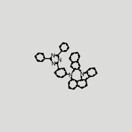 c1ccc(-c2nc(-c3ccccc3)nc(-c3cccc(-n4c5cccc6ccc7c8ccccc8n(c8cc9ccccc9cc84)c7c65)c3)n2)cc1